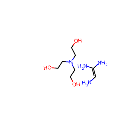 NC=C(N)N.OCCN(CCO)CCO